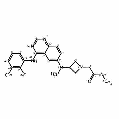 CNC(=O)CN1CC(N(C)c2ccc3ncnc(Nc4cccc(Cl)c4F)c3c2)C1